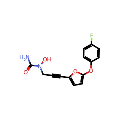 NC(=O)N(O)CC#Cc1ccc(Oc2ccc(F)cc2)o1